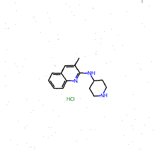 Cc1cc2ccccc2nc1NC1CCNCC1.Cl